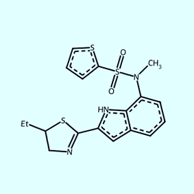 CCC1CN=C(c2cc3cccc(N(C)S(=O)(=O)c4cccs4)c3[nH]2)S1